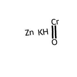 [KH].[O]=[Cr].[Zn]